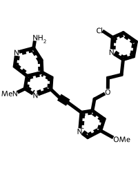 CNc1nc(C#Cc2ncc(OC)cc2COCCc2cccc(Cl)n2)cc2cc(N)ncc12